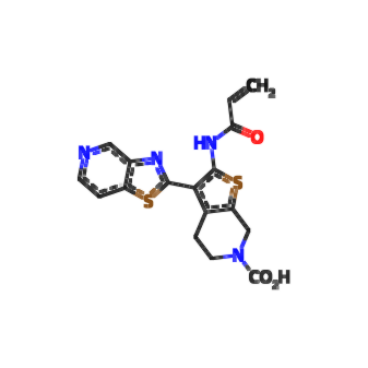 C=CC(=O)Nc1sc2c(c1-c1nc3cnccc3s1)CCN(C(=O)O)C2